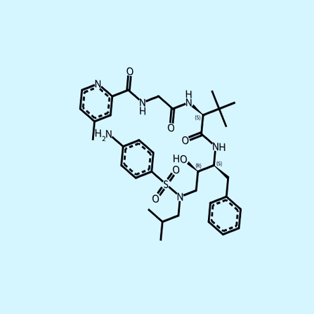 Cc1ccnc(C(=O)NCC(=O)N[C@H](C(=O)N[C@@H](Cc2ccccc2)[C@H](O)CN(CC(C)C)S(=O)(=O)c2ccc(N)cc2)C(C)(C)C)c1